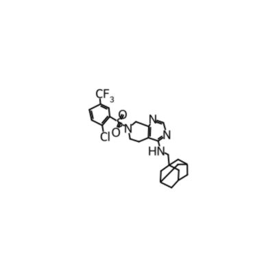 O=S(=O)(c1cc(C(F)(F)F)ccc1Cl)N1CCc2c(ncnc2NCC23CC4CC(CC(C4)C2)C3)C1